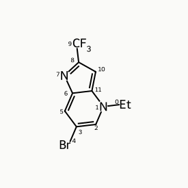 CCn1cc(Br)cc2nc(C(F)(F)F)cc1-2